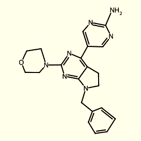 Nc1ncc(-c2nc(N3CCOCC3)nc3c2CCN3Cc2ccccc2)cn1